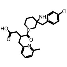 Cc1cccc(CC(CC(=O)O)C(=O)N2CCCC(N)(Cc3ccc(Cl)cc3)C2)n1